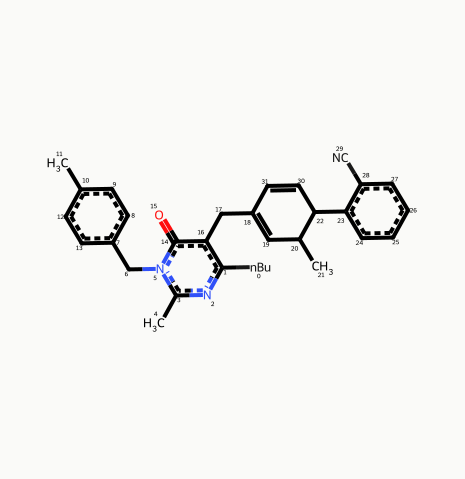 CCCCc1nc(C)n(Cc2ccc(C)cc2)c(=O)c1CC1=CC(C)C(c2ccccc2C#N)C=C1